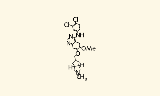 COc1cc2c(Nc3ccc(Cl)c(Cl)c3)ncnc2cc1OCC1C[C@@H]2CN(C)C[C@@H]2C1